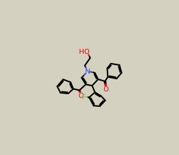 O=C(C1=CN(CCO)C=C(C(=O)c2ccccc2)C1c1ccccc1F)c1ccccc1